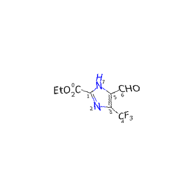 CCOC(=O)c1nc(C(F)(F)F)c(C=O)[nH]1